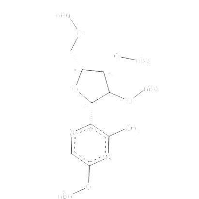 CCCCOC[C@H]1O[C@@H](c2ncc(OCCCC)nc2C)C(OCCCC)[C@H]1OCCCC